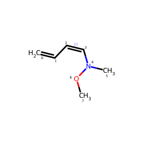 C=C/C=C\N(C)OC